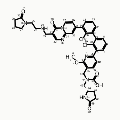 COc1nc(-c2cccc(-c3cccc(-c4ccn5c(=O)c(CNCCN6CCCC6=O)cnc5c4)c3Cl)c2Cl)ccc1CN(C[C@@H]1CCC(=O)N1)C(=O)O